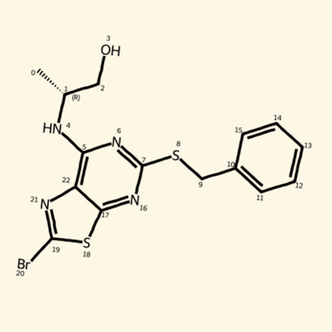 C[C@H](CO)Nc1nc(SCc2ccccc2)nc2sc(Br)nc12